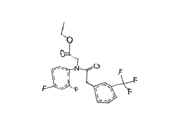 CCOC(=O)CN(C(=O)Cc1cccc(C(F)(F)F)c1)c1ccc(F)cc1F